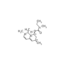 CC[C@H](C)C(=O)O[C@H]1C[C@@H](C)C=C2C=C[C@H](C)C(C)[C@H]21